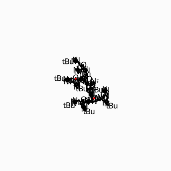 CC(C)(C)n1cc(CN(Cc2cn(C(C)(C)C)nn2)C(=O)Cn2cc(CN(Cc3cn(CC(=O)N(Cc4cn(C(C)(C)C)nn4)Cc4cn(C(C)(C)C)nn4)nn3)C(=O)Cn3cc(CN(Cc4cn(CC(=O)N(Cc5cn(CC(=O)N(Cc6cn(C(C)(C)C)nn6)Cc6cn(C(C)(C)C)nn6)nn5)Cc5cn(CC(=O)N(Cc6cn(C(C)(C)C)nn6)Cc6cn(C(C)(C)C)nn6)nn5)nn4)C(=O)CN=[N+]=[N-])nn3)nn2)nn1